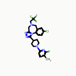 Cc1ccc(N2CCC(c3nnc4n3-c3ccc(Cl)cc3CN(CC(F)(F)F)C4)CC2)nc1F